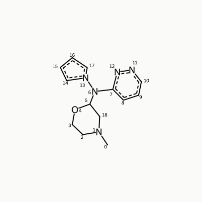 CN1CCOC(N(c2cccnn2)n2cccc2)C1